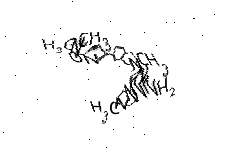 CC1Cc2ccc(-c3ccc(C(=O)N(C)C)nc3)cc2CN1c1cc(N2CCN(C)CC2)nc(N)n1